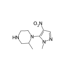 CC1CNCCN1c1c([N+](=O)[O-])cnn1C